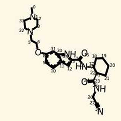 CN1CCN(CCOc2ccc3cc(C(=O)N[C@H]4CCCC[C@H]4C(=O)NCC#N)[nH]c3c2)CC1